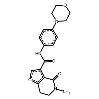 CN1CCc2occ(C(=O)Nc3ccc(N4CCOCC4)cc3)c2C1=O